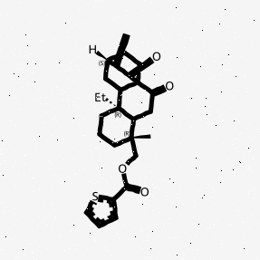 C=C1C(=O)C23CC[C@H]1CC2[C@]1(CC)CCC[C@@](C)(COC(=O)c2cccs2)C1CC3=O